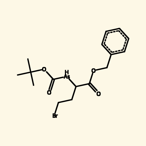 CC(C)(C)OC(=O)[AsH]C(CCBr)C(=O)OCc1ccccc1